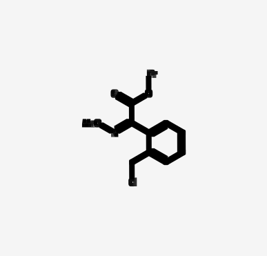 CON=C(C(=O)OC(C)C)c1ccccc1CCl